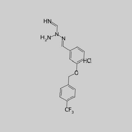 Cl.N=CN(N)/N=C/c1cccc(OCc2ccc(C(F)(F)F)cc2)c1